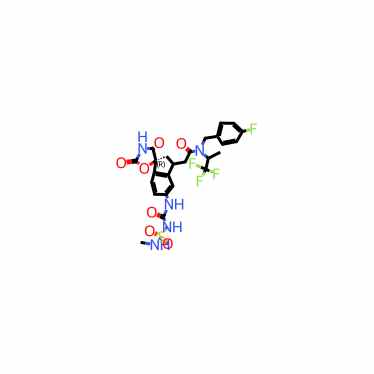 CNS(=O)(=O)NC(=O)Nc1ccc2c(c1)C(CC(=O)N(Cc1ccc(F)cc1)C(C)C(F)(F)F)C[C@@]21OC(=O)NC1=O